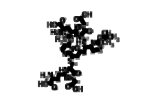 CC(C)(C)Oc1ccnc(C(CC(=O)CC(SC[C@H](NC(=O)CC[C@H](N)C(=O)O)C(=O)NCC(=O)O)c2ccnc(OC(C)(C)C)n2)SC[C@H](NC(=O)CC[C@@H](N)C(=O)O)C(=O)NCC(=O)O)n1